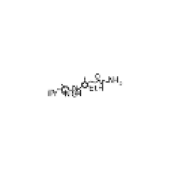 CCc1cc(-c2noc(-c3cc(C)c(CC(C)C)cn3)n2)cc(C)c1CCC(=O)NCCN